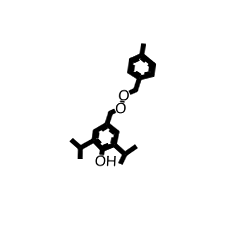 Cc1ccc(COOCc2cc(C(C)C)c(O)c(C(C)C)c2)cc1